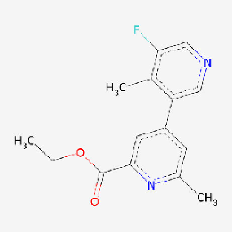 CCOC(=O)c1cc(-c2cncc(F)c2C)cc(C)n1